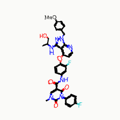 COc1ccc(Cn2nc(NC(C)CO)c3c(Oc4ccc(NC(=O)c5cn(C)c(=O)n(-c6ccc(F)cc6)c5=O)cc4F)ccnc32)cc1